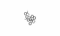 CC(=O)C[C@H](OC(C)=O)C(=O)ON1C(=O)CCC1=O